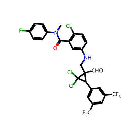 CN(C(=O)c1cc(NCC2(C=O)C(c3cc(C(F)(F)F)cc(C(F)(F)F)c3)C2(Cl)Cl)ccc1Cl)c1ccc(F)cc1